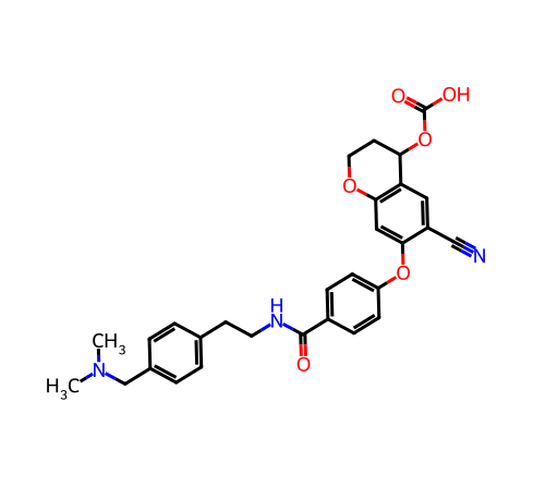 CN(C)Cc1ccc(CCNC(=O)c2ccc(Oc3cc4c(cc3C#N)C(OC(=O)O)CCO4)cc2)cc1